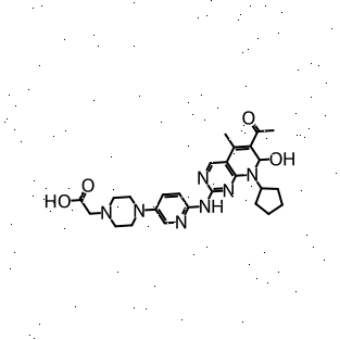 CC(=O)C1=C(C)c2cnc(Nc3ccc(N4CCN(CC(=O)O)CC4)cn3)nc2N(C2CCCC2)C1O